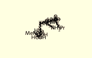 CNCC1OC(C(=O)NCCCCC(C)CCC(C)N[C@H](CCCCN)C(=O)NCCNc2c(NCCCCC(C)C)c(=O)c2=O)C(O)C(O)C1O